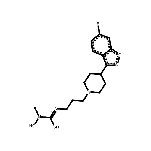 CN(C#N)/C(S)=N/CCCN1CCC(c2noc3cc(F)ccc23)CC1